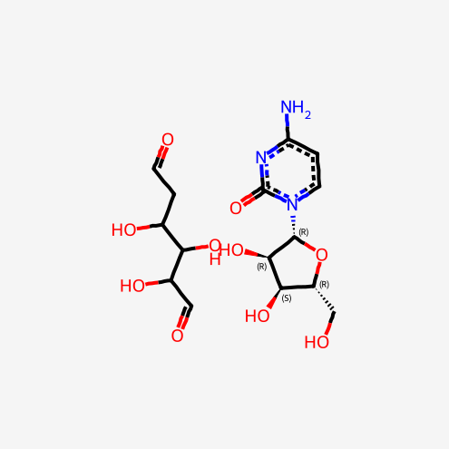 Nc1ccn([C@@H]2O[C@H](CO)[C@@H](O)[C@H]2O)c(=O)n1.O=CCC(O)C(O)C(O)C=O